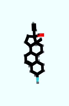 C#CC1(O)CCC2C3CC=C4CC(F)CCC4C3CCC21C